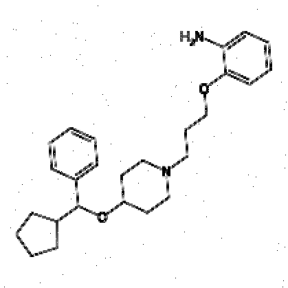 Nc1ccccc1OCCCN1CCC(OC(c2ccccc2)C2CCCC2)CC1